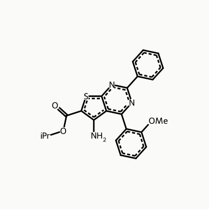 COc1ccccc1-c1nc(-c2ccccc2)nc2sc(C(=O)OC(C)C)c(N)c12